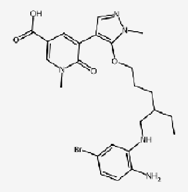 CCC(CCCOc1c(-c2cc(C(=O)O)cn(C)c2=O)cnn1C)CNc1cc(Br)ccc1N